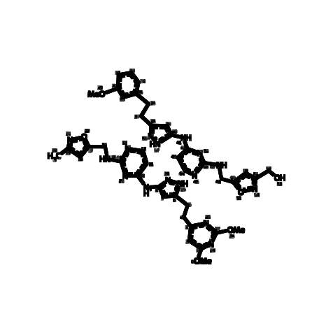 COc1cc(CCc2cc(Nc3ccnc(NCc4cc(C)no4)n3)n[nH]2)nc(OC)n1.COc1cccc(CCc2cc(Nc3ccnc(NCc4cc(CO)no4)n3)[nH]n2)c1